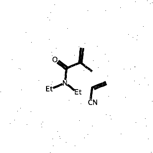 C=C(C)C(=O)N(CC)CC.C=CC#N